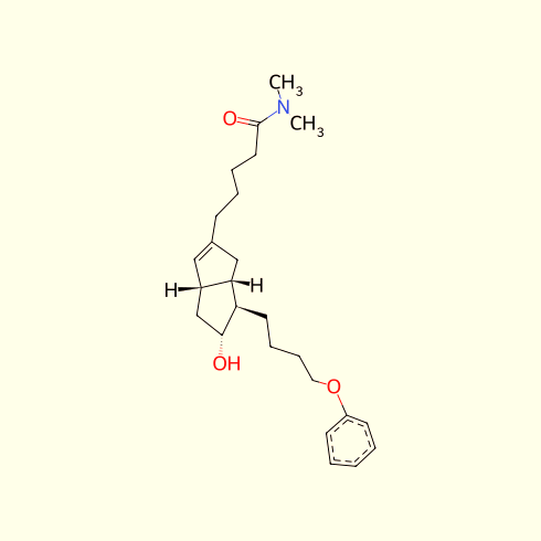 CN(C)C(=O)CCCCC1=C[C@H]2C[C@@H](O)[C@H](CCCCOc3ccccc3)[C@H]2C1